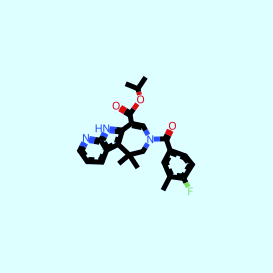 Cc1cc(C(=O)N2C=C(C(=O)OC(C)C)c3[nH]c4ncccc4c3C(C)(C)C2)ccc1F